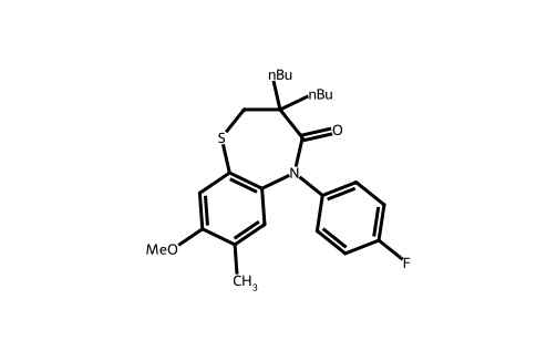 CCCCC1(CCCC)CSc2cc(OC)c(C)cc2N(c2ccc(F)cc2)C1=O